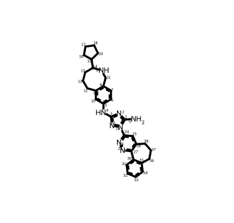 Nc1nc(Nc2ccc3c(c2)CCCC(C2CCCC2)NC3)nn1-c1cc2c(nn1)-c1ccccc1CCC2